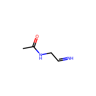 CC(=O)NCC=N